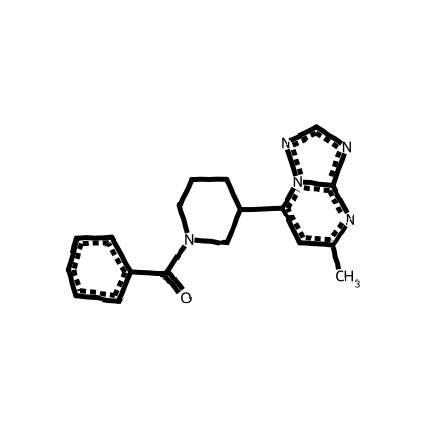 Cc1cc(C2CCCN(C(=O)c3ccccc3)C2)n2ncnc2n1